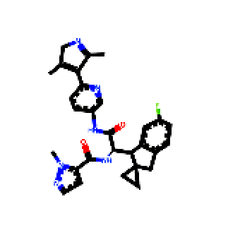 CC1=NCC(C)=C1c1ccc(NC(=O)[C@@H](NC(=O)c2ccnn2C)C2c3cc(F)ccc3CC23CC3)cn1